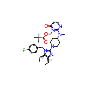 C/C=c1/nc(N2CCC(N(C)c3nccc(=O)n3COC(=O)C(C)(C)C)CC2)n(Cc2ccc(F)cc2)/c1=C/C